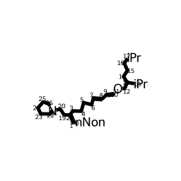 CCCCCCCCC/C=C(\CCCC/C=C/C=C/OCC(CCCC(C)C)C(C)C)CCN1CCCCC1